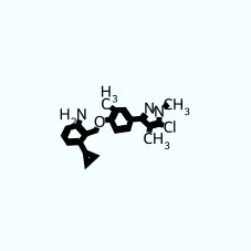 Cc1cc(-c2nn(C)c(Cl)c2C)ccc1OCc1c(N)cccc1C1CC1